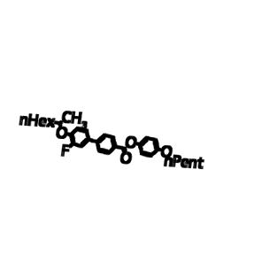 CCCCCCC(C)Oc1ccc(-c2ccc(C(=O)Oc3ccc(OCCCCC)cc3)cc2)cc1F